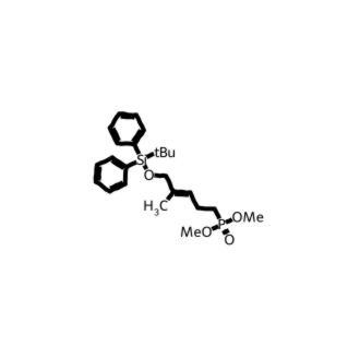 COP(=O)(CC/C=C(\C)CO[Si](c1ccccc1)(c1ccccc1)C(C)(C)C)OC